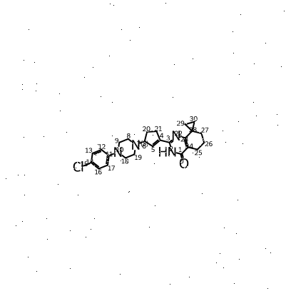 O=c1[nH]c(C2=C[C@@H](N3CCN(c4ccc(Cl)cc4)CC3)CC2)nc2c1CCCC21CC1